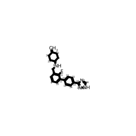 C=C1CCC(NCc2cccc(-c3ccc(-c4nc[nH]n4)cc3)c2F)CC1